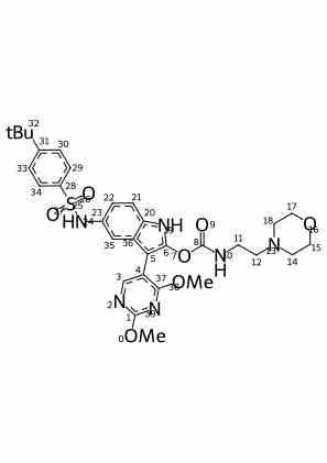 COc1ncc(-c2c(OC(=O)NCCN3CCOCC3)[nH]c3ccc(NS(=O)(=O)c4ccc(C(C)(C)C)cc4)cc23)c(OC)n1